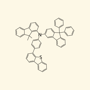 CC1(C)c2ccccc2-c2cccc(N(c3ccc(-c4cccc5c4sc4ccccc45)cc3)c3ccc4c(c3)-c3ccccc3C4(c3ccccc3)c3ccccc3)c21